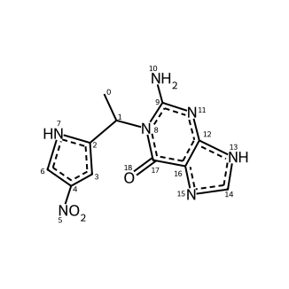 CC(c1cc([N+](=O)[O-])c[nH]1)n1c(N)nc2[nH]cnc2c1=O